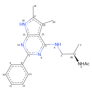 CC(=O)N[C@H](C)CNc1nc(-c2ccccc2)nc2[nH]c(C)c(C)c12